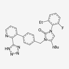 CCCCc1cn(-c2c(F)cccc2CC)c(=O)n1Cc1ccc(-c2cccnc2-c2nnn[nH]2)cc1